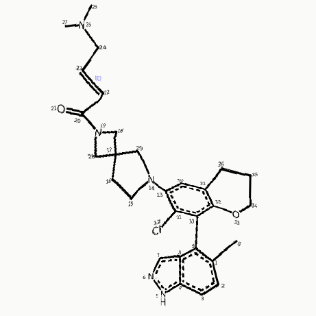 Cc1ccc2[nH]ncc2c1-c1c(Cl)c(N2CCC3(CN(C(=O)/C=C/CN(C)C)C3)C2)cc2c1OCCC2